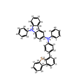 c1ccc(N(c2ccc(-c3cccc4c3sc3ccccc34)cc2)c2ccc3c(c2)c2ccccc2n3-c2ccccc2)cc1